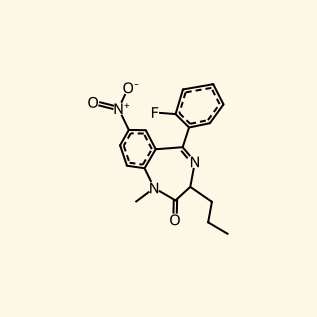 CCCC1N=C(c2ccccc2F)c2cc([N+](=O)[O-])ccc2N(C)C1=O